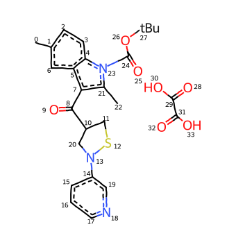 Cc1ccc2c(c1)c(C(=O)C1CSN(c3cccnc3)C1)c(C)n2C(=O)OC(C)(C)C.O=C(O)C(=O)O